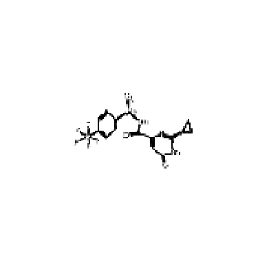 CC[C@@H](NC(=O)c1cc(=O)[nH]c(C2CC2)n1)c1ccc(S(F)(F)(F)(F)F)cc1